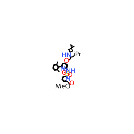 COC(=O)c1cccc(S(=O)(=O)Nc2cc(OCC(CC(C)C)NC3CC4(CC4)C3)cc(-c3c(C)cccc3C)n2)n1